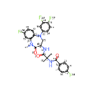 CN1C(=O)[C@H](NC(=O)C(C)(C)NC(=O)c2ccc(F)cc2)CN(c2ccc(F)c(F)c2)c2ccc(F)cc21